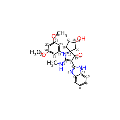 CNC1=C(c2nc3ccccc3[nH]2)C(=O)C2(CCC(O)C2)N1c1cc(OC)cc(OC)c1